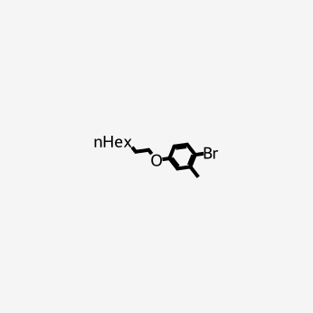 CCCCCCCCOc1ccc(Br)c(C)c1